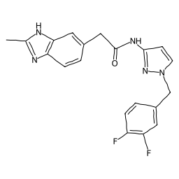 Cc1nc2ccc(CC(=O)Nc3ccn(Cc4ccc(F)c(F)c4)n3)cc2[nH]1